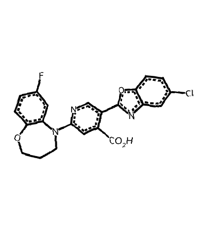 O=C(O)c1cc(N2CCCOc3ccc(F)cc32)ncc1-c1nc2cc(Cl)ccc2o1